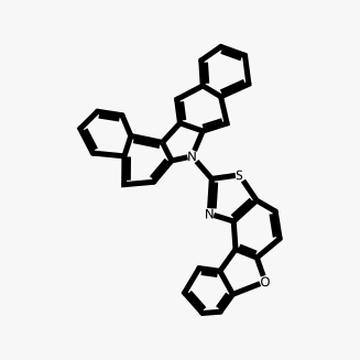 c1ccc2cc3c(cc2c1)c1c2ccccc2ccc1n3-c1nc2c(ccc3oc4ccccc4c32)s1